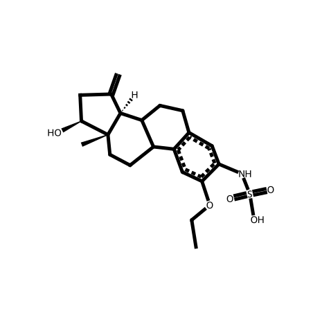 C=C1C[C@H](O)[C@@]2(C)CCC3c4cc(OCC)c(NS(=O)(=O)O)cc4CCC3[C@H]12